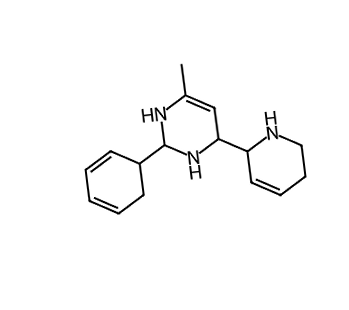 CC1=CC(C2C=CCCN2)NC(C2C=CC=CC2)N1